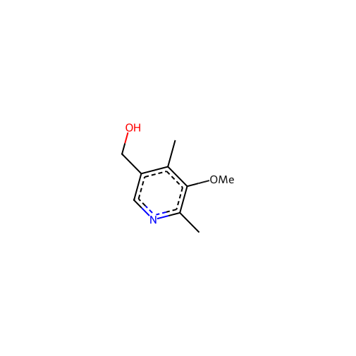 COc1c(C)ncc(CO)c1C